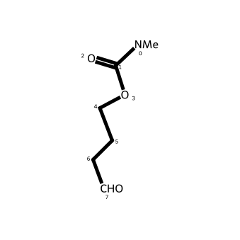 CNC(=O)OCCCC=O